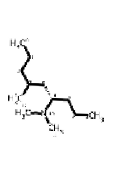 CCCC(C)C[C@H](CCC)N(C)C